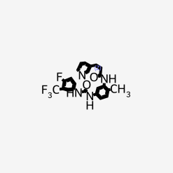 Cc1ccc(NC(=O)Nc2ccc(F)c(C(F)(F)F)c2)cc1NC(=O)/C=C\c1cccnc1